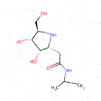 CC(C)NC(=O)C[C@H]1N[C@H](CO)[C@@H](O)[C@H]1O